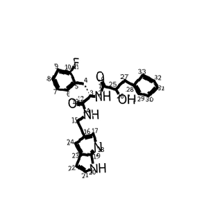 O=C(N[C@@H](Cc1ccccc1F)C(=O)NCc1cnc2[nH]ccc2c1)C(O)Cc1ccccc1